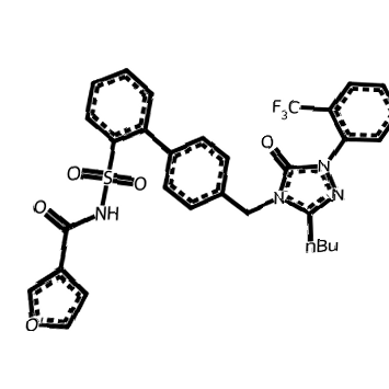 CCCCc1nn(-c2ccccc2C(F)(F)F)c(=O)n1Cc1ccc(-c2ccccc2S(=O)(=O)NC(=O)c2ccoc2)cc1